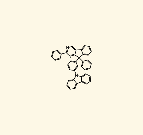 c1ccc(-c2ncc3c(n2)C(c2ccccc2)(c2cccc(-n4c5ccccc5c5ccccc54)c2)c2ccccc2-3)cc1